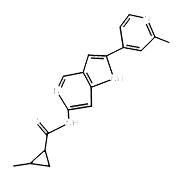 Cc1cc(-c2cc3cnc(NC(=O)C4CC4C)cc3[nH]2)ccn1